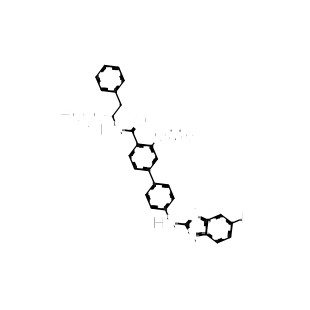 COc1cc(-c2ccc(Nc3nc4ccc(F)cc4s3)cc2)ccc1C(=O)N[C@@H](Cc1ccccc1)C(=O)O